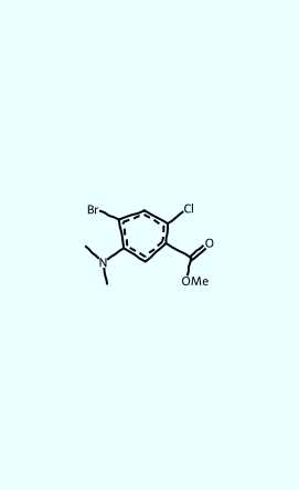 COC(=O)c1cc(N(C)C)c(Br)cc1Cl